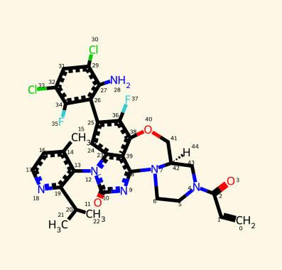 C=CC(=O)N1CCN2c3nc(=O)n(-c4c(C)ccnc4C(C)C)c4cc(-c5c(N)c(Cl)cc(Cl)c5F)c(F)c(c34)OC[C@H]2C1